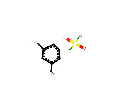 CC(C)c1cccc(C(C)C)c1.O=S(=O)(Cl)Cl